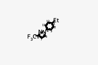 CCc1ccc(-n2ccc(C(F)(F)F)n2)cc1